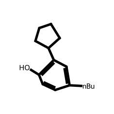 CCCCc1ccc(O)c(C2CCCC2)c1